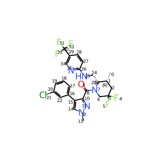 C[C@@H]1CC(F)(F)CN(C(=O)c2nn(C)cc2-c2cccc(Cl)c2)[C@@H]1CNc1ccc(C(F)(F)F)cn1